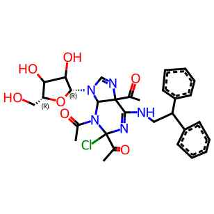 CC(=O)N1C2N([C@@H]3O[C@H](CO)C(O)C3O)C=NC2(C(C)=O)C(NCC(c2ccccc2)c2ccccc2)=NC1(Cl)C(C)=O